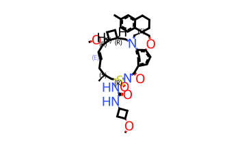 CO[C@H]1/C=C/C[C@H](C)C[S@@](=O)(NC(=O)N[C@H]2C[C@@H](OC)C2)=NC(=O)c2ccc3c(c2)N(C[C@@H]2CC[C@H]21)C[C@@]1(CCCc2cc(C)ccc21)CO3